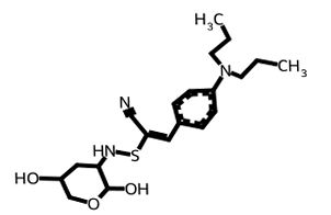 CCCN(CCC)c1ccc(/C=C(\C#N)SNC2CC(O)COC2O)cc1